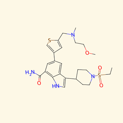 CCS(=O)(=O)N1CCC(c2c[nH]c3c(C(N)=O)cc(-c4csc(CN(C)CCOC)c4)cc23)CC1